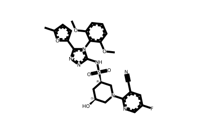 COc1cccc(OC)c1-n1c(NS(=O)(=O)[C@@H]2C[C@H](O)CN(c3ncc(F)cc3C#N)C2)nnc1-c1ccc(C)o1